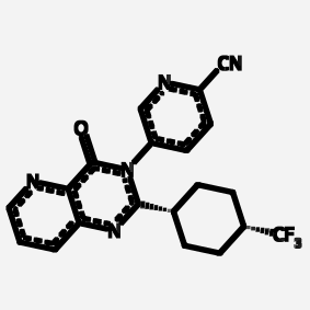 N#Cc1ccc(-n2c(=O)c3ncccc3nc2[C@H]2CC[C@@H](C(F)(F)F)CC2)cn1